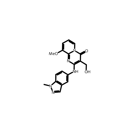 COc1cccn2c(=O)c(CO)c(Nc3ccc4c(cnn4C)c3)nc12